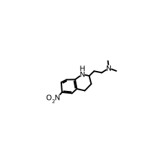 CN(C)CCC1CCc2cc([N+](=O)[O-])ccc2N1